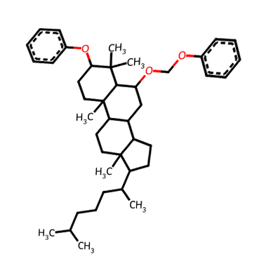 CC(C)CCCC(C)C1CCC2C3CC(OCOc4ccccc4)C4C(C)(C)C(Oc5ccccc5)CCC4(C)C3CCC12C